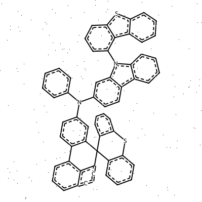 c1ccc(N(c2ccc3c(c2)C2(c4ccccc4Sc4ccccc42)c2cccc4cccc-3c24)c2ccc3c4ccccc4n(-c4cccc5sc6ccccc6c45)c3c2)cc1